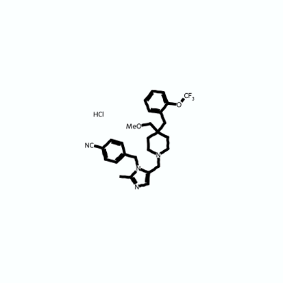 COCC1(Cc2ccccc2OC(F)(F)F)CCN(Cc2cnc(C)n2Cc2ccc(C#N)cc2)CC1.Cl